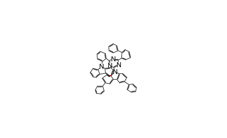 c1ccc(-c2ccc3c(c2)c2cc(-c4ccccc4)ccc2n3-c2nc(-c3ccccc3-c3ccccc3)nc(-c3ccccc3-n3c4ccccc4c4ccccc43)n2)cc1